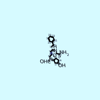 C[C@H](N)C(=O)N[C@H](/C=C/CN(C=O)[C@@H]1CC[C@H](O)C1)CCc1ccccc1